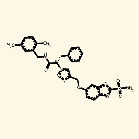 Cc1ccc(C)c(CNC(=O)[C@H](Cc2ccccc2)n2cc(COc3ccc4nc(S(N)(=O)=O)sc4c3)nn2)c1